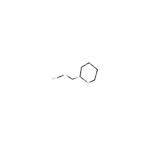 CC(C)OC[C@H]1CCCCN1